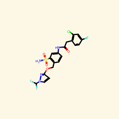 NS(=O)(=O)c1cc(NC(=O)Cc2ccc(F)cc2Cl)ccc1COc1ccn(C(F)F)n1